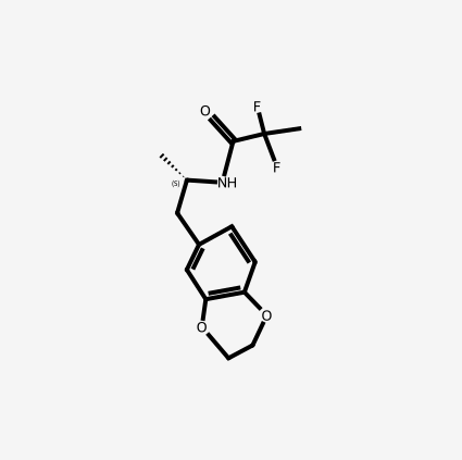 C[C@@H](Cc1ccc2c(c1)OCCO2)NC(=O)C(C)(F)F